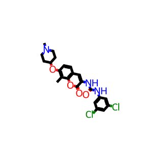 Cc1c(OC2CCN(C)CC2)ccc2cc(NC(=O)Nc3cc(Cl)cc(Cl)c3)c(=O)oc12